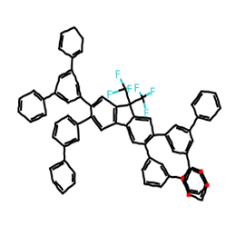 FC(F)(F)C1(C(F)(F)F)c2cc(-c3cc(C4=CCCC=C4)cc(-c4ccccc4)c3)c(-c3cccc(-c4ccccc4)c3)cc2-c2cc(-c3cccc(-c4ccccc4)c3)c(-c3cc(-c4ccccc4)cc(-c4ccccc4)c3)cc21